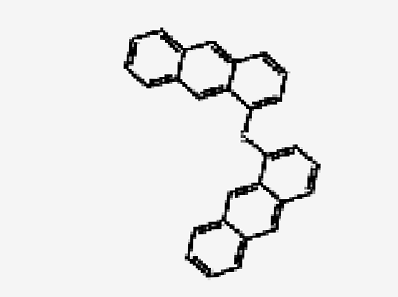 c1ccc2cc3c(Sc4cccc5cc6ccccc6cc45)cccc3cc2c1